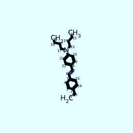 C=Cc1ccc(/C=C/c2ccc(N(CCCC)CCCC)cc2)cc1